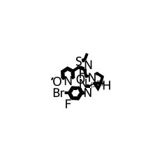 COc1ccc(-c2sc(C)nc2C(=O)N2CC[C@@H]3C[C@@]32c2nc3cc(F)c(Br)cc3[nH]2)cn1